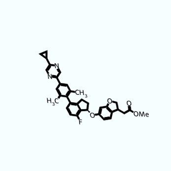 COC(=O)CC1COc2cc(O[C@@H]3CCc4c(-c5c(C)cc(-c6cnc(C7CC7)cn6)cc5C)ccc(F)c43)ccc21